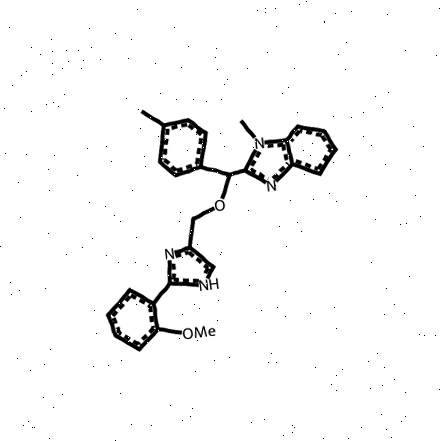 COc1ccccc1-c1nc(COC(c2ccc(C)cc2)c2nc3ccccc3n2C)c[nH]1